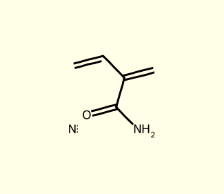 C=CC(=C)C(N)=O.[N]